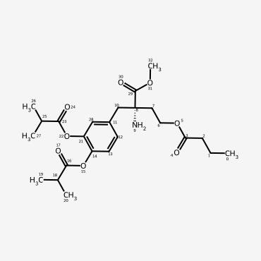 CCCC(=O)OCC[C@@](N)(Cc1ccc(OC(=O)C(C)C)c(OC(=O)C(C)C)c1)C(=O)OC